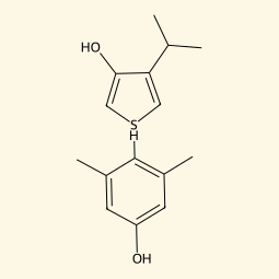 Cc1cc(O)cc(C)c1[SH]1C=C(O)C(C(C)C)=C1